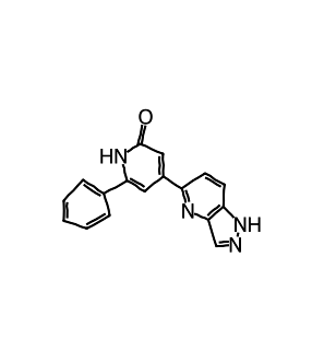 O=c1cc(-c2ccc3[nH]ncc3n2)cc(-c2ccccc2)[nH]1